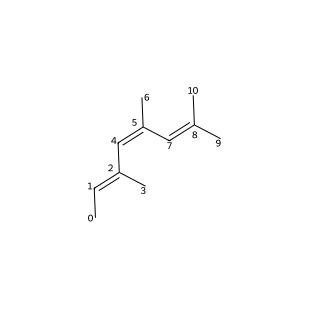 C/C=C(C)/C=C(/C)C=C(C)C